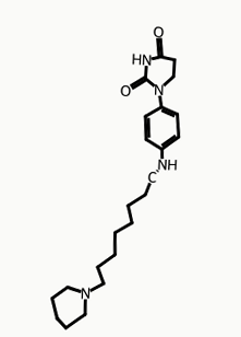 O=C1CCN(c2ccc(NCCCCCCCCN3CCCCC3)cc2)C(=O)N1